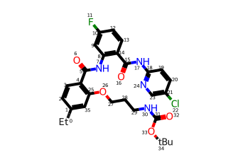 CCc1ccc(C(=O)Nc2cc(F)ccc2C(=O)Nc2ccc(Cl)cn2)c(OCCCNC(=O)OC(C)(C)C)c1